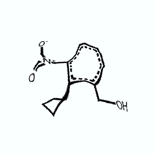 O=[N+]([O-])c1cccc(CO)c1C1CC1